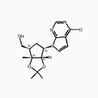 CC1(C)O[C@H]2[C@H](n3ccc4c(Cl)ncnc43)C[C@H](CO)[C@@]2(C)O1